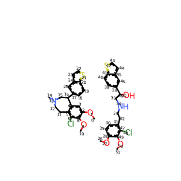 COc1cc2c(c(Cl)c1OC)CCN(C)CC2c1ccc2sccc2c1.COc1ccc(CCNCC(O)c2ccc3sccc3c2)c(Cl)c1OC